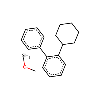 CO[SiH3].c1ccc(-c2ccccc2C2CCCCC2)cc1